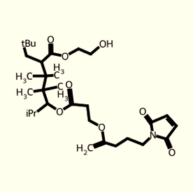 C=C(CCCN1C(=O)C=CC1=O)OCCC(=O)OC(C(C)C)C(C)(C)C(C)(C)C(CC(C)(C)C)C(=O)OCCO